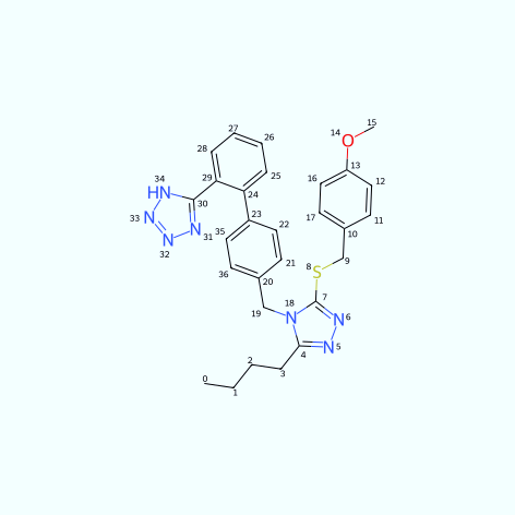 CCCCc1nnc(SCc2ccc(OC)cc2)n1Cc1ccc(-c2ccccc2-c2nnn[nH]2)cc1